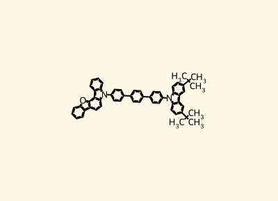 CC(C)(C)c1ccc2c(c1)c1cc(C(C)(C)C)ccc1n2-c1ccc(-c2ccc(-c3ccc(-n4c5ccccc5c5c6oc7ccccc7c6ccc54)cc3)cc2)cc1